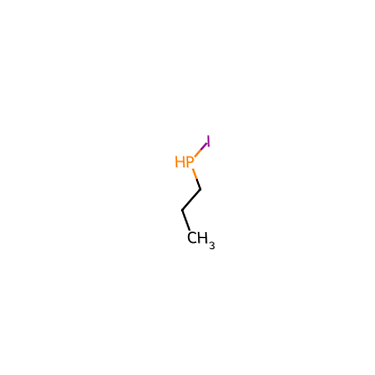 CCCPI